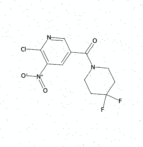 O=C(c1cnc(Cl)c([N+](=O)[O-])c1)N1CCC(F)(F)CC1